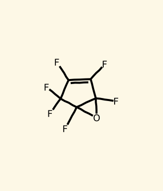 FC1=C(F)C2(F)OC2(F)C1(F)F